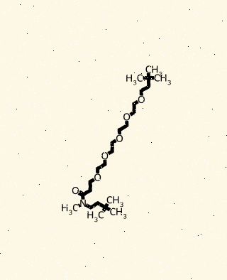 CN(CCC(C)(C)C)C(=O)CCOCCOCCOCCOCCOCCC(C)(C)C